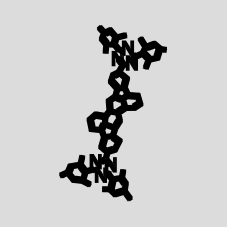 Cc1cc(C)c(-c2nc(-c3ccc4c(c3)c3cccc5c6cc7c8ccc(-c9nc(-c%10c(C)cc(C)cc%10C)nc(-c%10c(C)cc(C)cc%10C)n9)cc8c8cccc(c6cc4c35)c87)nc(-c3c(C)cc(C)cc3C)n2)c(C)c1